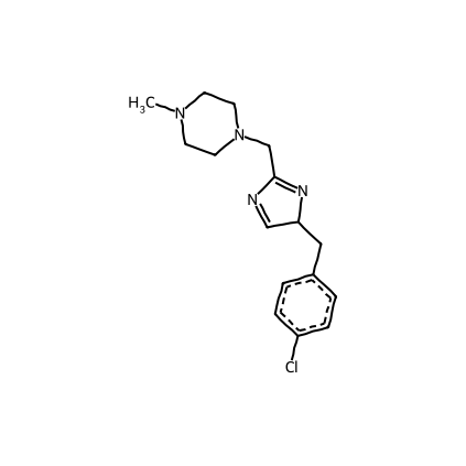 CN1CCN(CC2=NC(Cc3ccc(Cl)cc3)C=N2)CC1